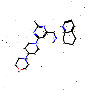 Cc1nc(CN(C)[C@H]2CCCc3cccnc32)cc(N2CCC(N3CCOCC3)CC2)n1